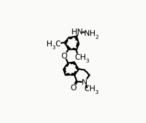 Cc1cc(NN)cc(C)c1Oc1ccc2c(c1)CCN(C)C2=O